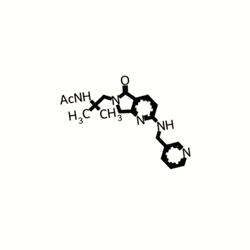 CC(=O)NC(C)(C)CN1Cc2nc(NCc3cccnc3)ccc2C1=O